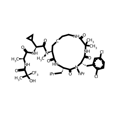 CCCN1C(=O)[C@H](CC(C)C)NC(=O)[C@@H](N(C)C(=O)[C@@H](NC(=O)[C@H](C)NC(=O)[C@@](C)(O)C(F)(F)F)C2CC2)CCCCNC(=O)C(C)(C)NC(=O)[C@@H]1Cc1cc(Cl)ccc1Cl